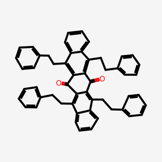 O=C1c2c(c(CCc3ccccc3)c3ccccc3c2CCc2ccccc2)C(=O)c2c1c(CCc1ccccc1)c1ccccc1c2CCc1ccccc1